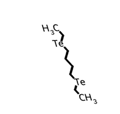 CC[Te]CCCC[Te]CC